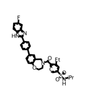 CCc1cc(S(=O)(=O)NC(C)C)ccc1C(=O)N1CCOc2ccc(-c3ccc(-c4nc5cc(F)ccc5[nH]4)cc3)cc2C1